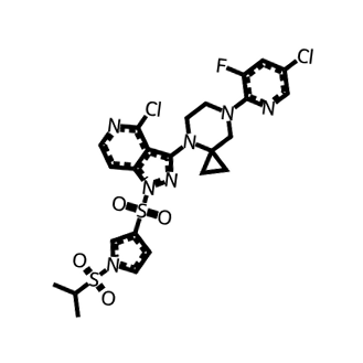 CC(C)S(=O)(=O)n1ccc(S(=O)(=O)n2nc(N3CCN(c4ncc(Cl)cc4F)CC34CC4)c3c(Cl)nccc32)c1